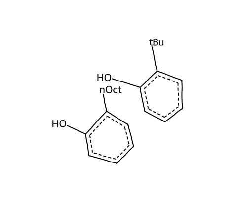 CC(C)(C)c1ccccc1O.CCCCCCCCc1ccccc1O